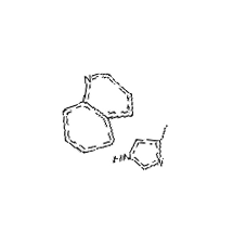 Cc1c[nH]cn1.c1ccc2ncccc2c1